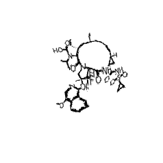 CC[C@@H]1C[C@@H](C)CC/C=C\[C@@H]2C[C@@]2(C(=O)NS(=O)(=O)C2CC2)NC(=O)[C@@H]2N(C[C@@](C)(Oc3ncc(OC)c4ccccc34)C2(F)F)C(=O)[C@H]1N(C(=O)O)C(C)C